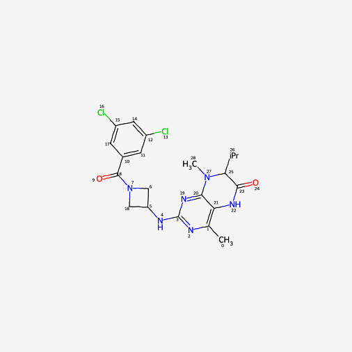 Cc1nc(NC2CN(C(=O)c3cc(Cl)cc(Cl)c3)C2)nc2c1NC(=O)C(C(C)C)N2C